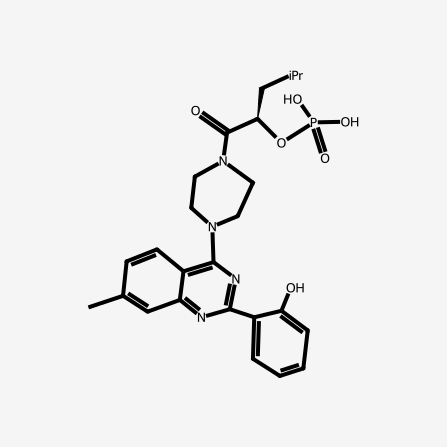 Cc1ccc2c(N3CCN(C(=O)[C@@H](CC(C)C)OP(=O)(O)O)CC3)nc(-c3ccccc3O)nc2c1